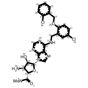 CNC(=O)[C@H]1O[C@@H](n2cnc3c(NCc4cc(Cl)ccc4OCc4ccccc4Cl)ncnc32)[C@H](O)[C@@H]1N